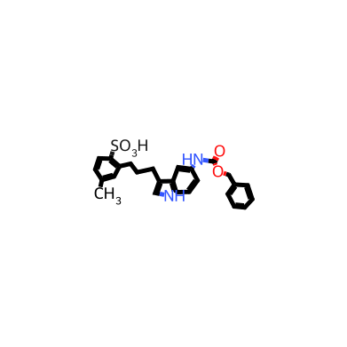 Cc1ccc(S(=O)(=O)O)c(CCCc2c[nH]c3ccc(NC(=O)OCc4ccccc4)cc23)c1